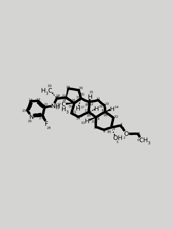 CCOC[C@@]1(O)CC[C@H]2[C@H](CC[C@@H]3[C@@H]2CC[C@]2(C)[C@@H]([C@@H](C)Nc4cccnc4F)CC[C@@H]32)C1